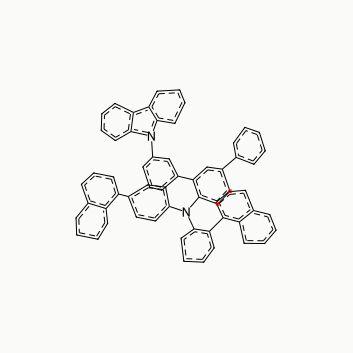 c1ccc(-c2ccc(N(c3ccc(-c4cccc5ccccc45)cc3)c3ccccc3-c3cccc4ccccc34)c(-c3cccc(-n4c5ccccc5c5ccccc54)c3)c2)cc1